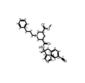 COC(=O)C1CC(C(=O)NC(C)(Cc2ccc(C#N)cc2)c2cnc[nH]2)CN(CCCc2ccccc2)C1